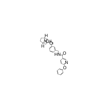 CN1[C@@H]2CC[C@H]1C[C@H](Oc1cccc(CNC(=O)c3ccc(Oc4ccccc4)nc3)c1)C2